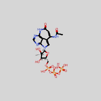 CC(=O)NC1=CC(=O)Nc2ncnc3c2c1cn3[C@@H]1O[C@H](COP(=O)(O)OP(=O)(O)OP(=O)(O)O)[C@@H](O)[C@@]1(C)O